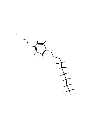 OOOSc1c(F)c(F)c(SCCC(F)(F)C(F)(F)C(F)(F)C(F)(F)C(F)(F)C(F)(F)F)c(F)c1F